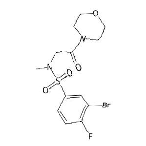 CN(CC(=O)N1CCOCC1)S(=O)(=O)c1ccc(F)c(Br)c1